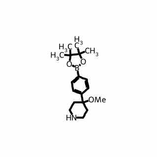 COC1(c2ccc(B3OC(C)(C)C(C)(C)O3)cc2)CCNCC1